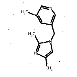 Cc1cncc(Cn2cc(C)nc2C)c1